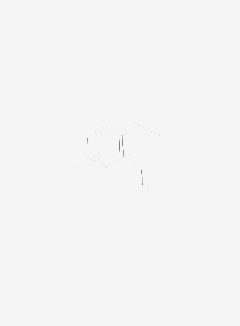 Fc1ccc(CBr)c(OCC(F)(F)F)c1